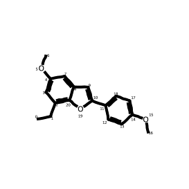 CCc1cc(OC)cc2cc(-c3ccc(OC)cc3)oc12